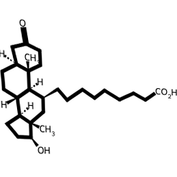 C[C@]12CCC(=O)C[C@@H]1CC[C@@H]1[C@@H]2[C@@H](CCCCCCCCC(=O)O)C[C@]2(C)[C@@H](O)CC[C@@H]12